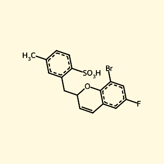 Cc1ccc(S(=O)(=O)O)c(CC2C=Cc3cc(F)cc(Br)c3O2)c1